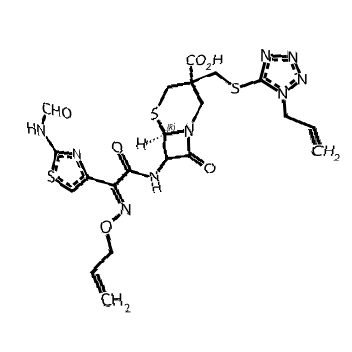 C=CCON=C(C(=O)NC1C(=O)N2CC(CSc3nnnn3CC=C)(C(=O)O)CS[C@H]12)c1csc(NC=O)n1